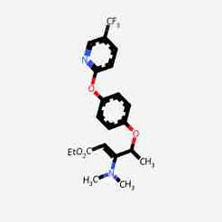 CCOC(=O)/C=C(/C(C)Oc1ccc(Oc2ccc(C(F)(F)F)cn2)cc1)N(C)C